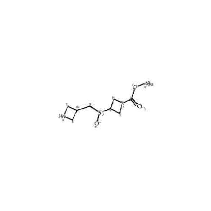 CC(C)(C)OC(=O)N1CC([S+]([O-])CC2CNC2)C1